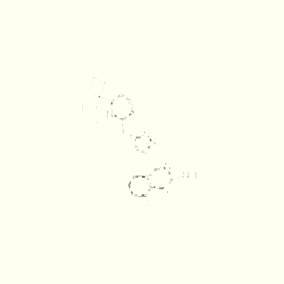 Cc1cccc2c(-c3cn(Cc4cccc(C5(O)CCC5)[n+]4[O-])nn3)nc(N)nc12